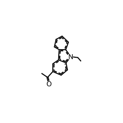 CCn1c2ccccc2c2cc(C(C)=O)ccc21